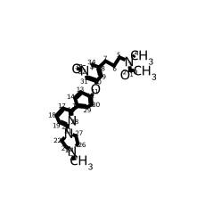 CC(=O)N(C)CCCc1cc(Oc2ccc(-c3cccc(N4CCN(C)CC4)n3)cc2)c[n+]([O-])c1